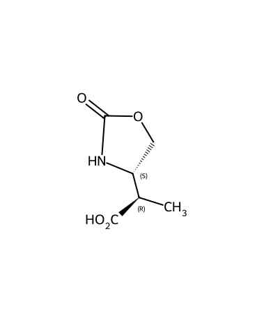 C[C@@H](C(=O)O)[C@H]1COC(=O)N1